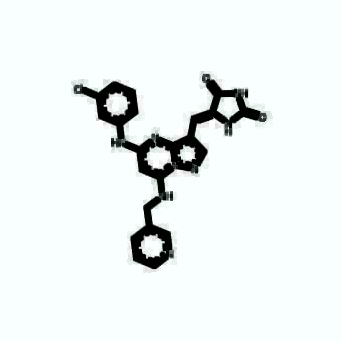 O=C1NC(=O)C(=Cc2cnn3c(NCc4cccnc4)cc(Nc4cccc(Cl)c4)nc23)N1